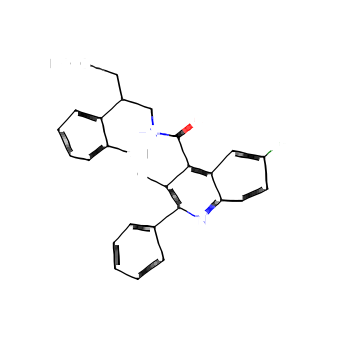 Cc1ccccc1C(CNC(=O)c1c(C)c(-c2ccccc2)nc2ccc(Br)cc12)CC(=O)O